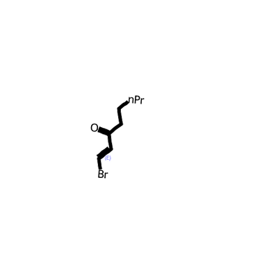 CCCCCC(=O)/C=C/Br